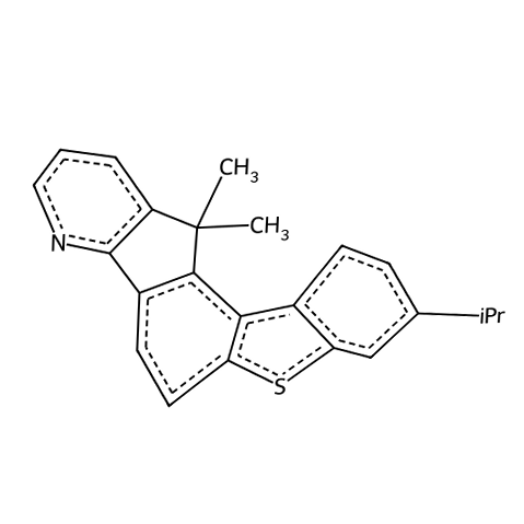 CC(C)c1ccc2c(c1)sc1ccc3c(c12)C(C)(C)c1cccnc1-3